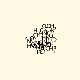 CCC[C@H](NC(=O)[C@@H]1C[C@@H]2CCCC[C@@H]2N1C(=O)[C@@H](NC(=O)[C@@H](NC(=O)c1[nH]c(C)c(C(C)=O)c1C#N)C1CCCCC1)C(C)(C)C)C(=O)C(=O)NC1CC1